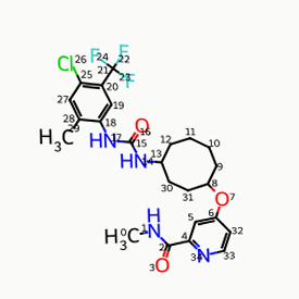 CNC(=O)c1cc(OC2CCCCC(NC(=O)Nc3cc(C(F)(F)F)c(Cl)cc3C)CC2)ccn1